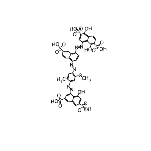 COc1cc(N=Nc2cc(S(=O)(=O)O)cc3cc(S(=O)(=O)O)cc(O)c23)c(C)cc1N=Nc1ccc(N=Nc2cc(S(=O)(=O)O)c(O)c3ccc(S(=O)(=O)O)c(O)c23)c2cc(S(=O)(=O)O)ccc12